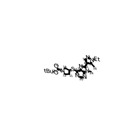 CCn1ncc(-c2nc3c(SC4CCN(C(=O)OC(C)(C)C)C4)ncnc3n2C)c1C